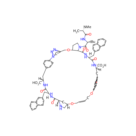 CN[C@@H](C)C(=O)N[C@H](C(=O)N1CCC2OCc3cn(nn3)-c3ccc(cc3)C[C@@H](C(=O)O)NC(=O)[C@H](Cc3ccc4ccccc4c3)NC(=O)[C@@H]3C[C@@H](CN3)OC/C=C/COc3ccc(cc3)C[C@@H](C(=O)O)NC(=O)[C@H](Cc3ccc4ccccc4c3)NC(=O)C21)C(C)(C)C